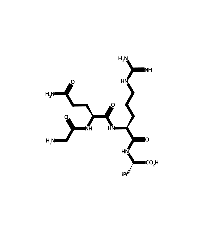 CC(C)[C@H](NC(=O)[C@H](CCCNC(=N)N)NC(=O)[C@H](CCC(N)=O)NC(=O)CN)C(=O)O